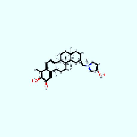 CC1=C(O)C(=O)C=C2C1=CC=C1[C@@]2(C)CC[C@@]2(C)[C@@H]3C[C@](C)(CN4CC[C@@H](O)C4)CC[C@]3(C)CC[C@]12C